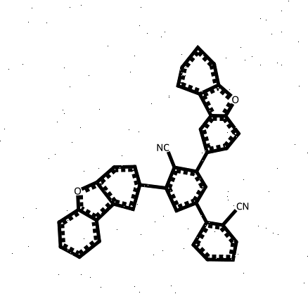 N#Cc1ccccc1-c1cc(-c2ccc3oc4ccccc4c3c2)c(C#N)c(-c2ccc3oc4ccccc4c3c2)c1